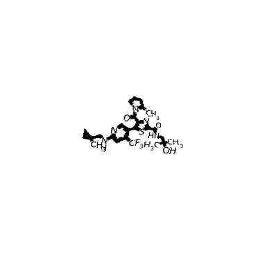 CC1CCCN1C(=O)c1nc(C(=O)NCC(C)(C)O)sc1-c1cnc(NCC2(C)CC2)cc1C(F)(F)F